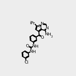 CC(C)c1cc(C(=O)c2cccc(NC(=O)Nc3cccc(Cl)c3)c2)c2c(N)ncnn12